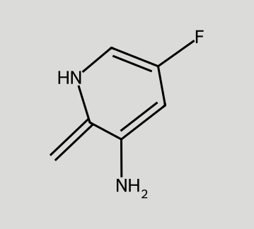 C=C1NC=C(F)C=C1N